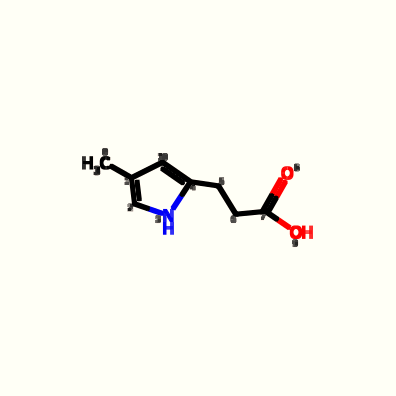 Cc1c[nH]c(CCC(=O)O)c1